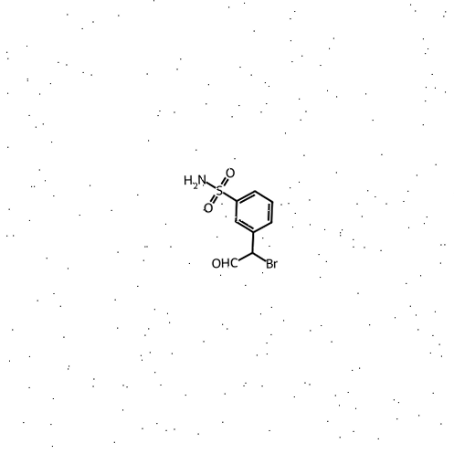 NS(=O)(=O)c1cccc(C(Br)C=O)c1